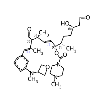 C/C(=C\c1cccc(N(C)C2COC2)c1)[C@@H](C=O)[C@@H](C)/C=C/[C@H](OC(=O)N1CCN(C)CC1)[C@@H](C)CC[C@@H](O)CC=O